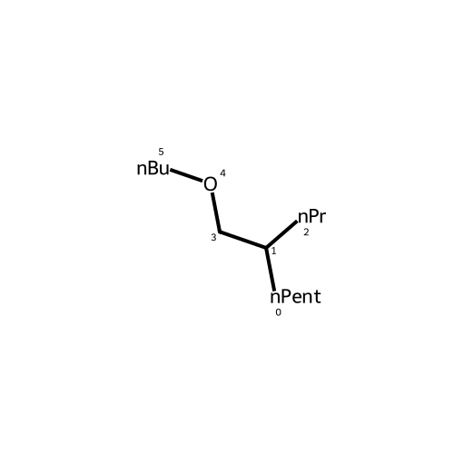 CCCCCC(CCC)COCCCC